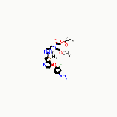 COCCN(Cc1cnc(-c2cc3nccc(Oc4ccc(N)cc4F)c3s2)n1C)C(=O)COC(C)=O